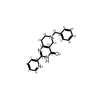 O=c1[nH]c(-c2ccccn2)nc2c1CN(Cc1ccccc1)CC2